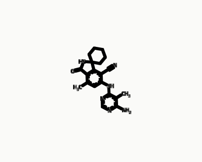 Cc1cc(Nc2ncnc(N)c2C)c(C#N)c2c1C(=O)NC21CCCCC1